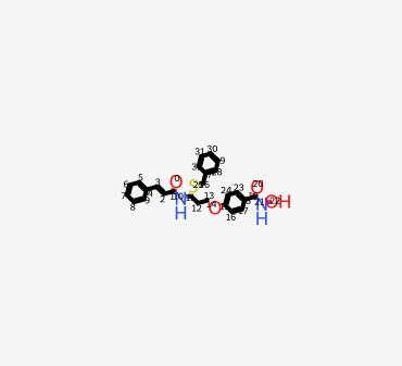 O=C(/C=C/c1ccccc1)NC(CCOc1ccc(C(=O)NO)cc1)SCc1ccccc1